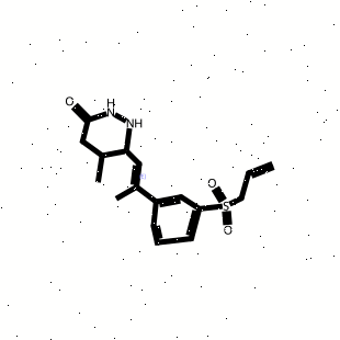 C=CCS(=O)(=O)c1cccc(/C(C)=C/C2NNC(=O)CC2C)c1